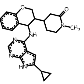 CN1CCC(C2COc3ccccc3C2Nc2ncnc3[nH]c(C4CC4)cc23)CC1=O